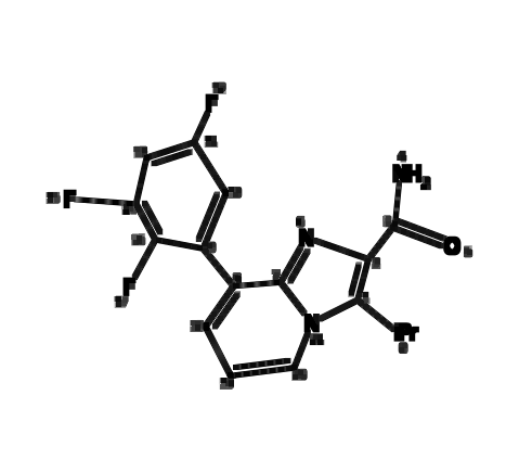 CC(C)c1c(C(N)=O)nc2c(-c3cc(F)cc(F)c3F)cccn12